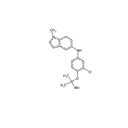 Cn1ccc2cc(Nc3ccc(O[Si](C)(C)C(C)(C)C)c(Cl)c3)ccc21